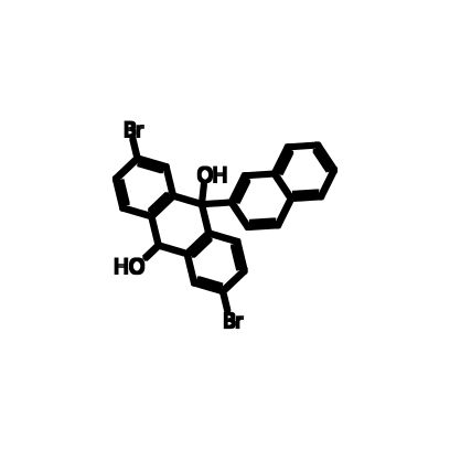 OC1c2cc(Br)ccc2C(O)(c2ccc3ccccc3c2)c2cc(Br)ccc21